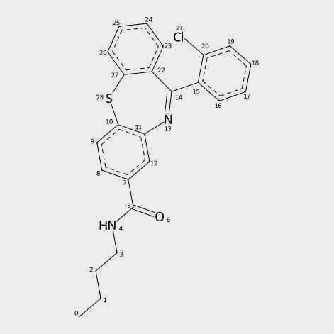 CCCCNC(=O)c1ccc2c(c1)N=C(c1ccccc1Cl)c1ccccc1S2